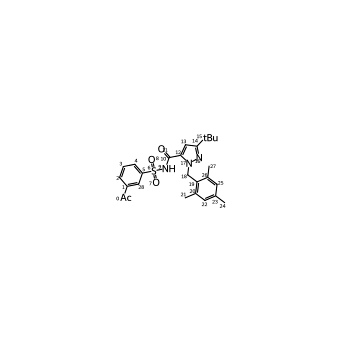 CC(=O)c1cccc(S(=O)(=O)NC(=O)c2cc(C(C)(C)C)nn2Cc2c(C)cc(C)cc2C)c1